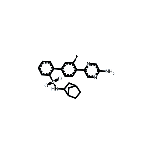 Nc1cnc(-c2ccc(-c3ccccc3S(=O)(=O)NC3CC4CCC3C4)cc2F)cn1